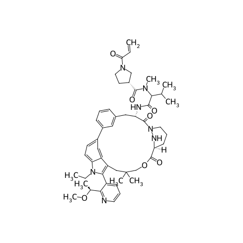 C=CC(=O)N1CC[C@@H](C(=O)N(C)C(C(=O)N[C@H]2Cc3cccc(c3)-c3ccc4c(c3)c(c(-c3cccnc3[C@H](C)OC)n4CC)CC(C)(C)COC(=O)[C@@H]3CCCN(N3)C2=O)C(C)C)C1